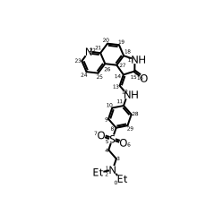 CCN(CC)CCS(=O)(=O)c1ccc(N/C=C2\C(=O)Nc3ccc4ncccc4c32)cc1